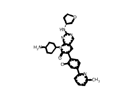 Cc1cccc(-c2ccc(-c3cc4cnc(N[C@@H]5CCOC5)nc4n(C4CCC(N)CC4)c3=O)c(Cl)c2)n1